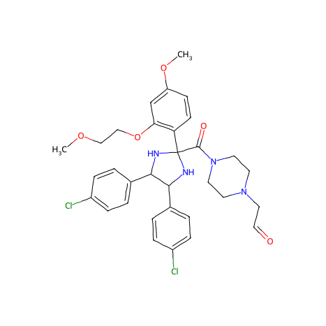 COCCOc1cc(OC)ccc1C1(C(=O)N2CCN(CC=O)CC2)NC(c2ccc(Cl)cc2)C(c2ccc(Cl)cc2)N1